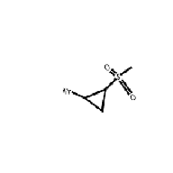 CC(C)C1CC1S(C)(=O)=O